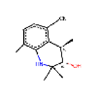 Cc1ccc(C#N)c2c1NC(C)(C)[C@@H](O)[C@@H]2C